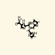 NC(=O)c1cnc(C(=O)N(Cc2ncc[nH]2)Cc2ncc[nH]2)[nH]1